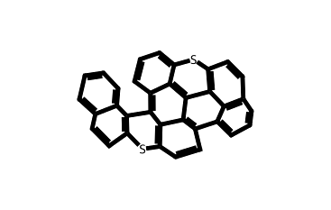 c1ccc2c(c1)ccc1sc3ccc4c5cccc6ccc7sc8cccc9c8c(c7c65)c4c3c9c12